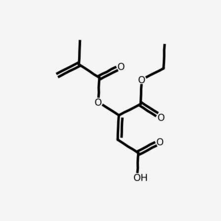 C=C(C)C(=O)O/C(=C/C(=O)O)C(=O)OCC